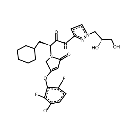 O=C(Nc1ccn(C[C@@H](O)CO)n1)[C@H](CC1CCCCC1)N1CC(Oc2c(F)ccc(Cl)c2F)=CC1=O